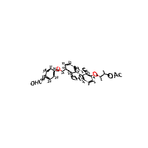 CC(=O)OCCOc1cccc(-c2cccc(COc3ccc(C=O)cc3)c2C)c1C